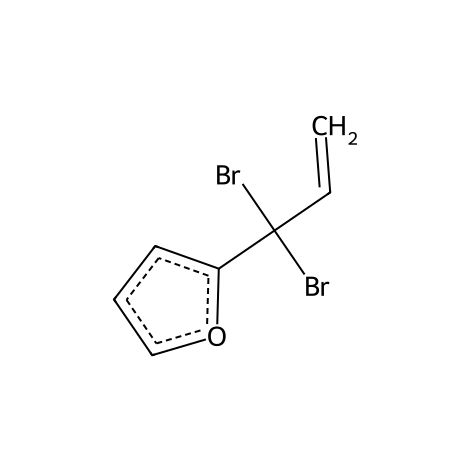 C=CC(Br)(Br)c1ccco1